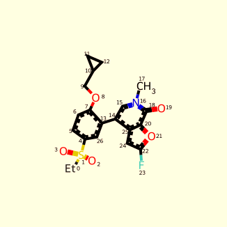 CCS(=O)(=O)c1ccc(OCC2CC2)c(-c2cn(C)c(=O)c3oc(F)cc23)c1